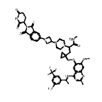 CNC(=O)C(CC1(COc2cc3c(NC(C)c4cc(N)cc(C(F)(F)F)c4)nc(C)nc3cc2OC)CC1)N1CCN(C2CN(c3ccc4c(c3)C(=O)N(C3CCC(=O)NC3=O)C4=O)C2)CC1